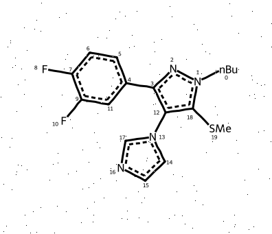 CCCCn1nc(-c2ccc(F)c(F)c2)c(-n2ccnc2)c1SC